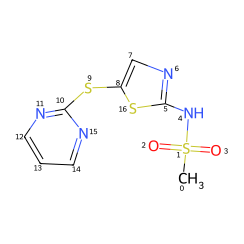 CS(=O)(=O)Nc1ncc(Sc2ncccn2)s1